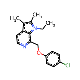 CCn1c(C)c(C)c2ccnc(COc3ccc(Cl)cc3)c21